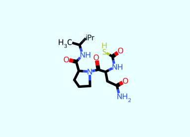 CC(C)C(C)NC(=O)C1CCCN1C(=O)C(CC(N)=O)NC(=O)S